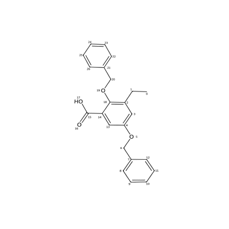 CCc1cc(OCc2ccccc2)cc(C(=O)O)c1OCc1ccccc1